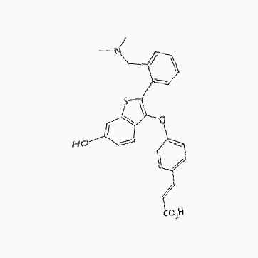 CN(C)Cc1ccccc1-c1sc2cc(O)ccc2c1Oc1ccc(C=CC(=O)O)cc1